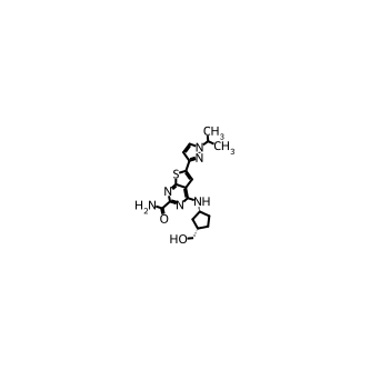 CC(C)n1ccc(-c2cc3c(N[C@@H]4CC[C@H](CO)C4)nc(C(N)=O)nc3s2)n1